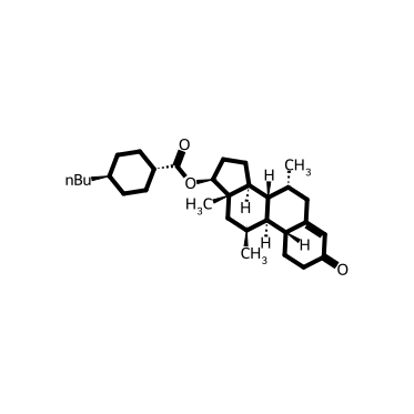 CCCC[C@H]1CC[C@H](C(=O)O[C@H]2CC[C@H]3[C@H]4[C@H]([C@@H](C)C[C@]23C)[C@H]2CCC(=O)C=C2C[C@H]4C)CC1